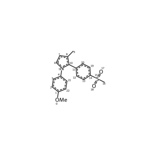 COc1ccc(-n2ccc(C)c2-c2ccc(S(C)(=O)=O)cc2)cc1